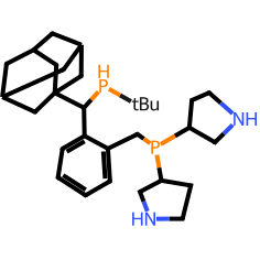 CC(C)(C)PC(c1ccccc1CP(C1CCNC1)C1CCNC1)C12CC3CC(CC(C3)C1)C2